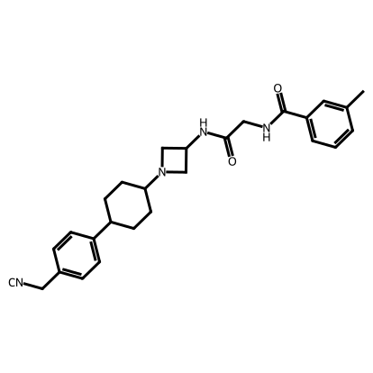 [C-]#[N+]Cc1ccc(C2CCC(N3CC(NC(=O)CNC(=O)c4cccc(C)c4)C3)CC2)cc1